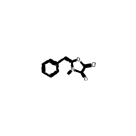 CN1C(=O)C(=O)OC1=Cc1ccccc1